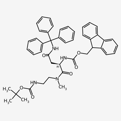 CN(CCNC(=O)OC(C)(C)C)C(=O)[C@@H](CC(=O)NC(c1ccccc1)(c1ccccc1)c1ccccc1)NC(=O)OCC1c2ccccc2-c2ccccc21